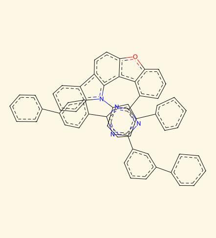 c1ccc(-c2ccc(-c3nc(-c4cccc(-c5ccccc5)c4)nc(-c4cccc5oc6ccc7c8ccccc8n(-c8cccc(-c9ccccc9)c8)c7c6c45)n3)cc2)cc1